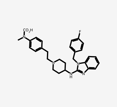 CN(C(=O)O)c1ccc(CCN2CCC(Nc3nc4ccccc4n3Cc3ccc(F)cc3)CC2)cc1